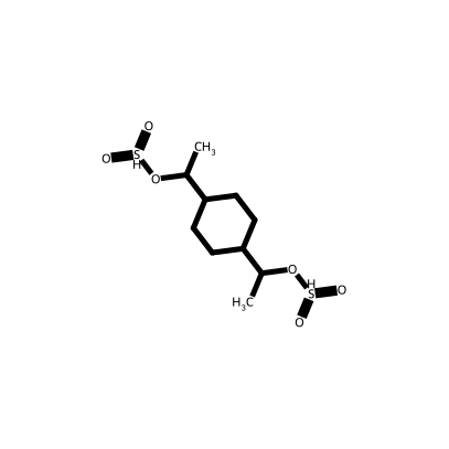 CC(O[SH](=O)=O)C1CCC(C(C)O[SH](=O)=O)CC1